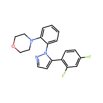 Fc1ccc(-c2ccnn2-c2ccccc2N2CCOCC2)c(F)c1